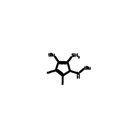 CC1=C(C)C(NC(C)(C)C)C([SiH3])=C1C(C)(C)C